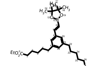 CCOC(=O)CCCCCc1cc(/C=C/B2OC(C)(C)C(C)(C)O2)cc(CCCCCC(C)=O)c1